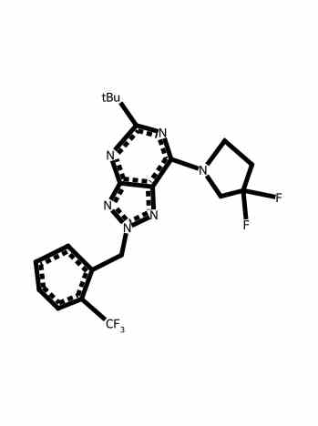 CC(C)(C)c1nc(N2CCC(F)(F)C2)c2nn(Cc3ccccc3C(F)(F)F)nc2n1